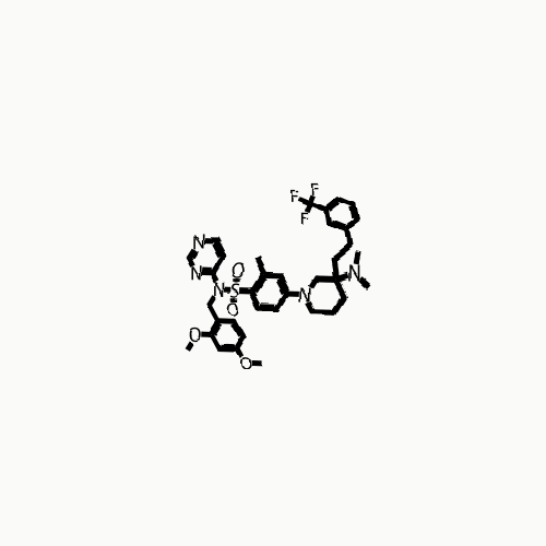 COc1ccc(CN(c2ccncn2)S(=O)(=O)c2ccc(N3CCCC(CCc4cccc(C(F)(F)F)c4)(N(C)C)C3)cc2C)c(OC)c1